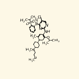 COCCN(C)[C@H]1CC[C@@H](C2CC(OC(C)C)=C(Nc3ncc(Cl)c(Nc4ccccc4S(=O)(=O)C(C)C)n3)C=C2C)CC1